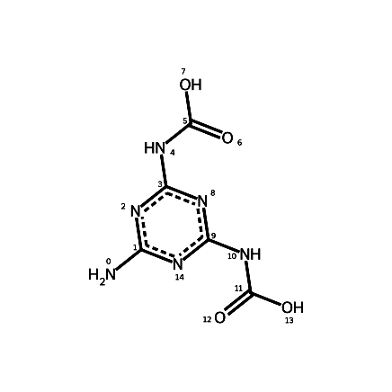 Nc1nc(NC(=O)O)nc(NC(=O)O)n1